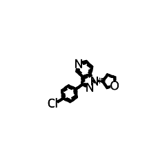 Clc1ccc(-c2nn([C@H]3CCOC3)c3ccncc23)cc1